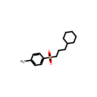 Cc1ccc(S(=O)(=O)CCCC2CCCCC2)cc1